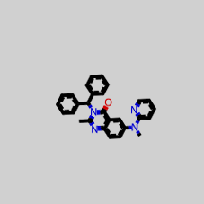 Cc1nc2ccc(N(C)c3ccccn3)cc2c(=O)n1C(c1ccccc1)c1ccccc1